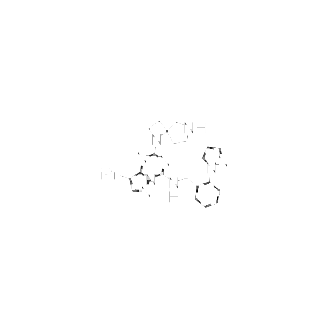 CC(C)c1cnn2c(NCc3ccccc3-n3cccn3)nc(N3CCC34CCNC4)nc12